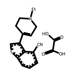 CCN1CC=C(c2csc3cccc(C#N)c23)CC1.O=C(O)C(=O)O